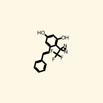 Oc1cc(O)c(C2(C(F)(F)F)N=N2)c(/C=C/c2ccccc2)c1